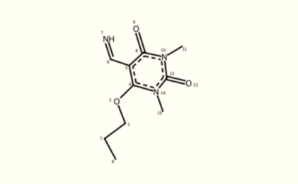 CCCOc1c(C=N)c(=O)n(C)c(=O)n1C